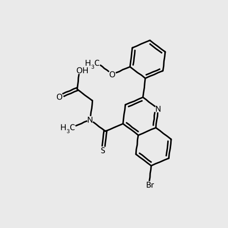 COc1ccccc1-c1cc(C(=S)N(C)CC(=O)O)c2cc(Br)ccc2n1